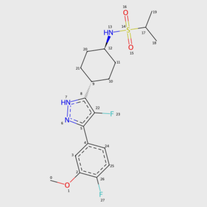 COc1cc(-c2n[nH]c([C@H]3CC[C@H](NS(=O)(=O)C(C)C)CC3)c2F)ccc1F